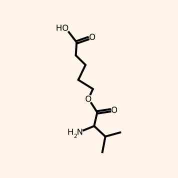 CC(C)C(N)C(=O)OCCCCC(=O)O